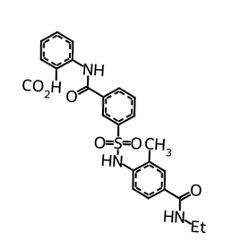 CCNC(=O)c1ccc(NS(=O)(=O)c2cccc(C(=O)Nc3ccccc3C(=O)O)c2)c(C)c1